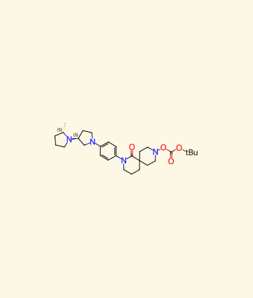 C[C@H]1CCCN1[C@H]1CCN(c2ccc(N3CCCC4(CCN(OC(=O)OC(C)(C)C)CC4)C3=O)cc2)C1